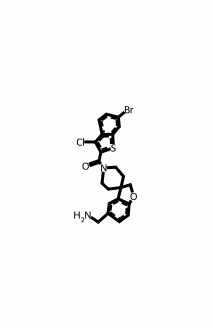 NCc1ccc2c(c1)C1(CCN(C(=O)c3sc4cc(Br)ccc4c3Cl)CC1)CO2